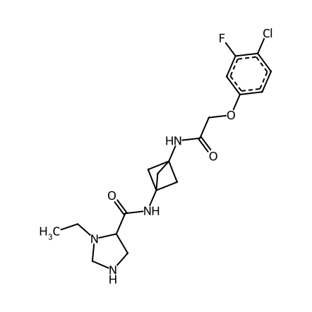 CCN1CNCC1C(=O)NC12CC(NC(=O)COc3ccc(Cl)c(F)c3)(C1)C2